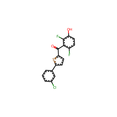 O=C(c1ccc(-c2cccc(Cl)c2)s1)c1c(F)ccc(O)c1F